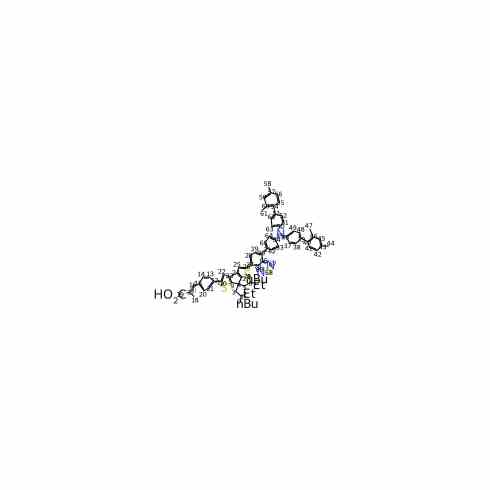 CCCCC(CC)CC1(CC(CC)CCCC)c2sc(-c3ccc(/C=C(\C)C(=O)O)cc3)cc2-c2cc(-c3ccc(-c4ccc(N(c5ccc(-c6ccc(C)cc6C)cc5)c5ccc(-c6ccc(C)cc6C)cc5)cc4)c4nsnc34)sc21